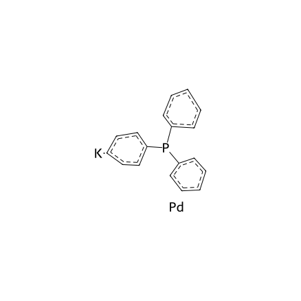 [K].[Pd].c1ccc(P(c2ccccc2)c2ccccc2)cc1